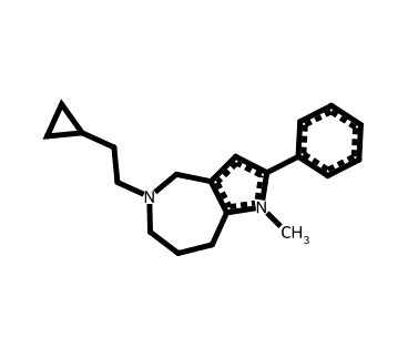 Cn1c(-c2ccccc2)cc2c1CCCN(CCC1CC1)C2